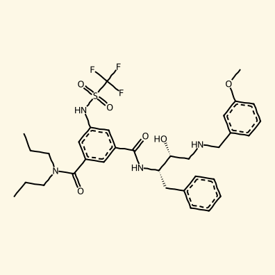 CCCN(CCC)C(=O)c1cc(NS(=O)(=O)C(F)(F)F)cc(C(=O)N[C@@H](Cc2ccccc2)[C@H](O)CNCc2cccc(OC)c2)c1